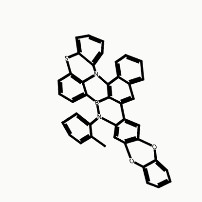 Cc1ccccc1N1B2c3cccc4c3N(c3ccccc3S4)c3c2c(cc2ccccc32)-c2cc3c(cc21)Oc1ccccc1O3